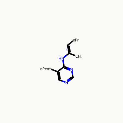 CCC/C=C(\C)Nc1ncncc1CCCCC